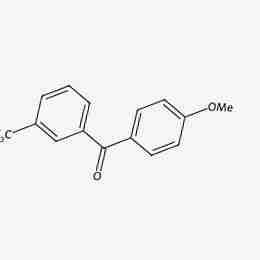 COc1ccc(C(=O)c2cccc(C(F)(F)F)c2)cc1